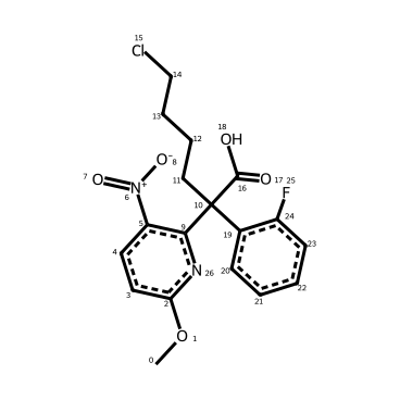 COc1ccc([N+](=O)[O-])c(C(CCCCCl)(C(=O)O)c2ccccc2F)n1